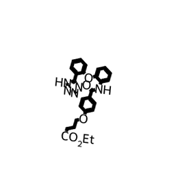 CCOC(=O)CCCOc1ccc(C(=O)Nc2ccccc2Oc2ccccc2-c2nnn[nH]2)cc1